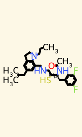 CCCN1CCc2cc(CC(C)C)cc(CNC[C@H](S)[C@H](Cc3cc(F)cc(F)c3)NC(C)=O)c21